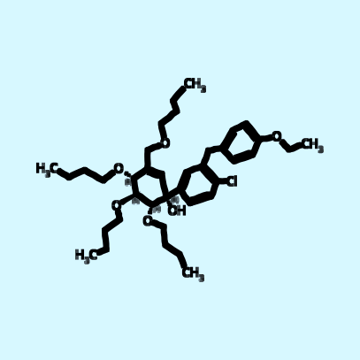 CCCCOCC1=C[C@@](O)(c2ccc(Cl)c(Cc3ccc(OCC)cc3)c2)[C@H](OCCCC)[C@@H](OCCCC)[C@@H]1OCCCC